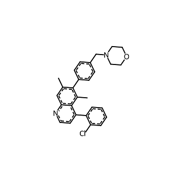 Cc1cc2nccc(-c3ccccc3Cl)c2c(C)c1-c1ccc(CN2CCOCC2)cc1